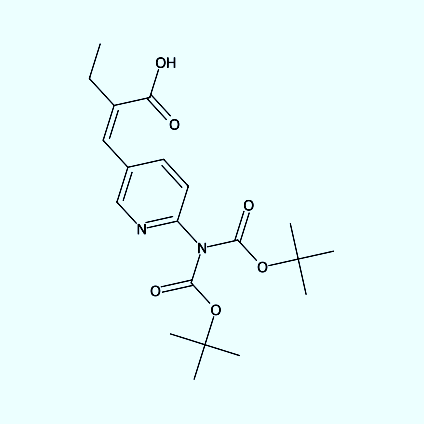 CCC(=Cc1ccc(N(C(=O)OC(C)(C)C)C(=O)OC(C)(C)C)nc1)C(=O)O